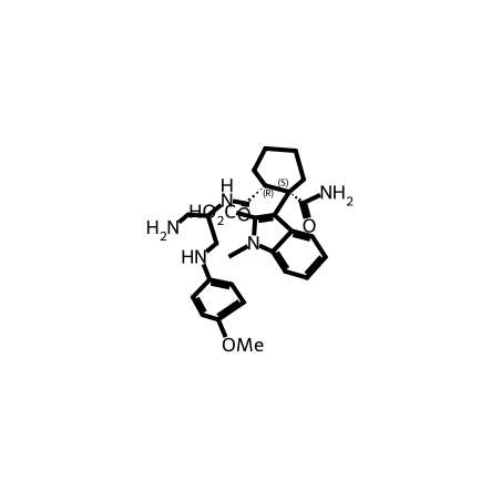 COc1ccc(NCC(CN)NC(=O)[C@@H]2CCCC[C@@]2(C(N)=O)c2c(C(=O)O)n(C)c3ccccc23)cc1